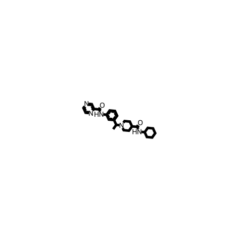 CC(c1cccc(NC(=O)c2cnccn2)c1)N1CCC(C(=O)NC2CCCCC2)CC1